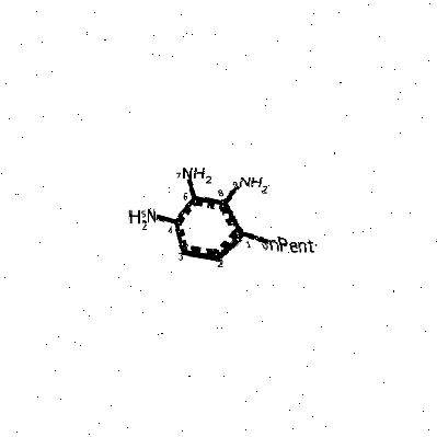 CCCC[CH]c1ccc(N)c(N)c1N